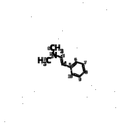 CN(C)/[C]=C/c1ccccc1